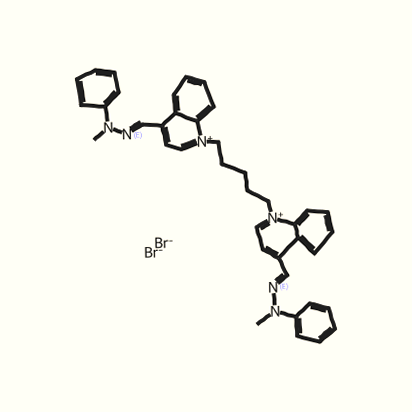 CN(/N=C/c1cc[n+](CCCCC[n+]2ccc(/C=N/N(C)c3ccccc3)c3ccccc32)c2ccccc12)c1ccccc1.[Br-].[Br-]